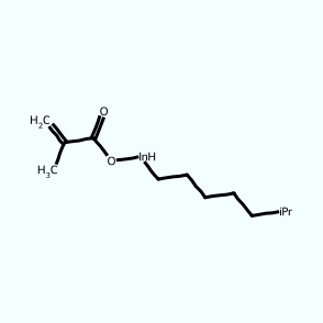 C=C(C)C(=O)[O][InH][CH2]CCCCC(C)C